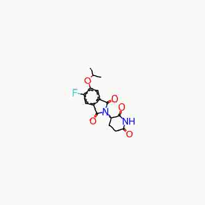 CC(C)Oc1cc2c(cc1F)C(=O)N(C1CCC(=O)NC1=O)C2=O